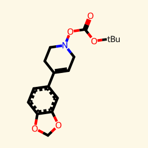 CC(C)(C)OC(=O)ON1CC=C(c2ccc3c(c2)OCO3)CC1